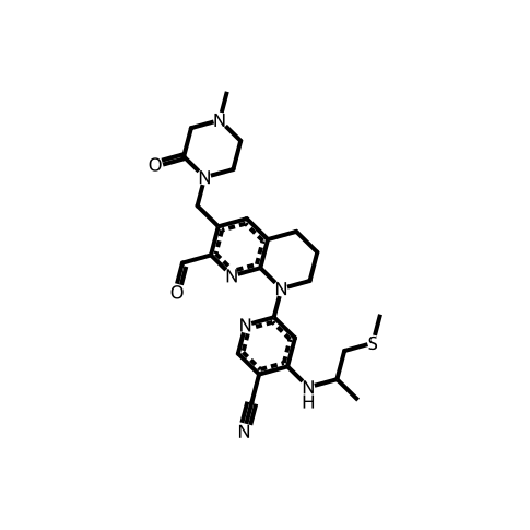 CSCC(C)Nc1cc(N2CCCc3cc(CN4CCN(C)CC4=O)c(C=O)nc32)ncc1C#N